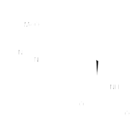 COc1ccc(C[C@@H]2COCC(=O)N2)cc1-n1cccn1